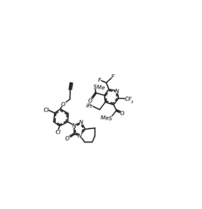 C#CCOc1cc(-n2nc3n(c2=O)CCCC3)c(Cl)cc1Cl.CSC(=O)c1c(C(F)F)nc(C(F)(F)F)c(C(=O)SC)c1CC(C)C